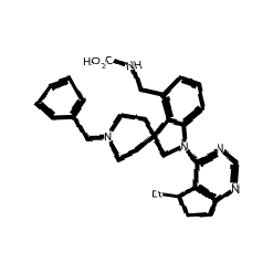 CCC1CCc2ncnc(N3CC4(CCN(Cc5ccccc5)CC4)c4c(CNC(=O)O)cccc43)c21